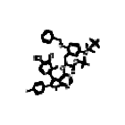 Cc1c(-c2c(-c3ccc(F)cc3)sc3ncnc(OC(Cc4cc(O[Si](C)(C)C(C)(C)C)ccc4OCc4ccccc4)C(=O)OC(C)(C)C)c23)ccc(O)c1Cl